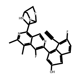 C#Cc1c(F)ccc2cc(O)cc(-c3ncc4c(N5CC6CCC5CN6)nc(C)c(C)c4c3F)c12